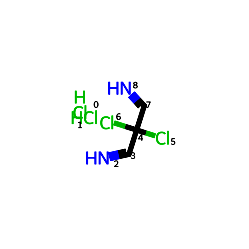 Cl.Cl.N=CC(Cl)(Cl)C=N